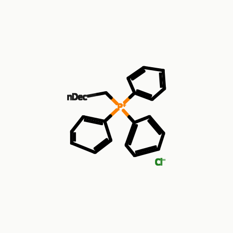 CCCCCCCCCCC[P+](c1ccccc1)(c1ccccc1)c1ccccc1.[Cl-]